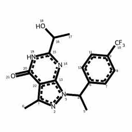 Cc1nn(C(C)c2ccc(C(F)(F)F)cc2)c2nc(C(C)O)[nH]c(=O)c12